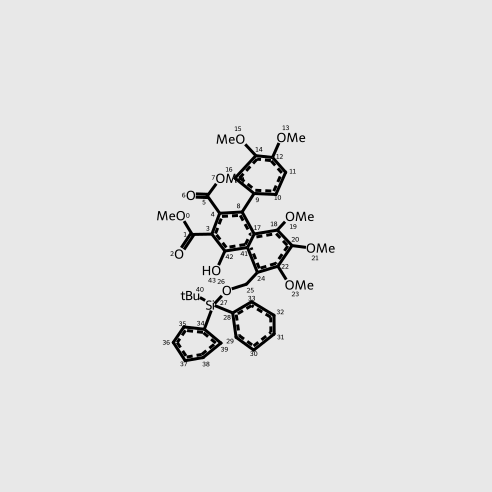 COC(=O)c1c(C(=O)OC)c(-c2ccc(OC)c(OC)c2)c2c(OC)c(OC)c(OC)c(CO[Si](c3ccccc3)(c3ccccc3)C(C)(C)C)c2c1O